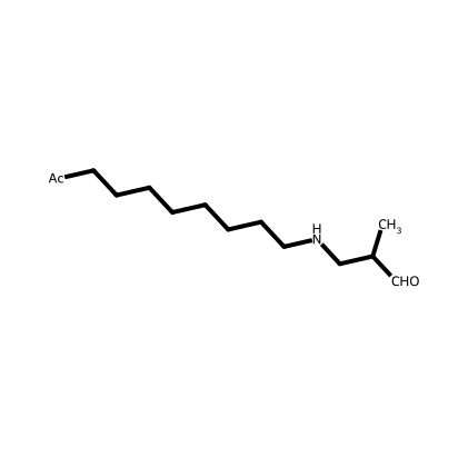 CC(=O)CCCCCCCCNCC(C)C=O